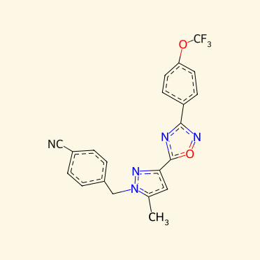 Cc1cc(-c2nc(-c3ccc(OC(F)(F)F)cc3)no2)nn1Cc1ccc(C#N)cc1